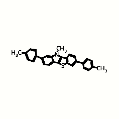 Cc1ccc(-c2ccc3c(c2)sc2c4ccc(-c5ccc(C)cc5)cc4n(C)c32)cc1